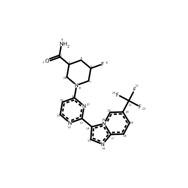 NC(=O)C1CC(F)CN(c2ccnc(-c3cnc4ccc(C(F)(F)F)cn34)n2)C1